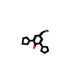 N#CC=C1C=C(C2CCCC2)C(=O)C(C2CCCC2)=C1